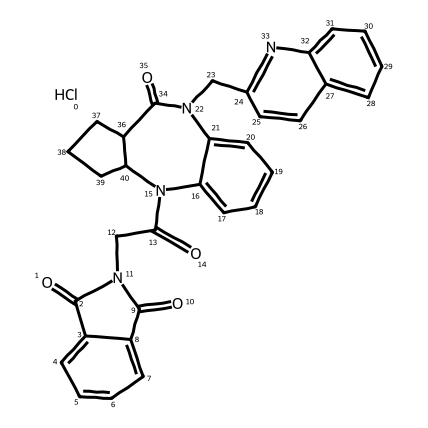 Cl.O=C1c2ccccc2C(=O)N1CC(=O)N1c2ccccc2N(Cc2ccc3ccccc3n2)C(=O)C2CCCC21